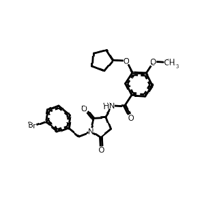 COc1ccc(C(=O)NC2CC(=O)N(Cc3cccc(Br)c3)C2=O)cc1OC1CCCC1